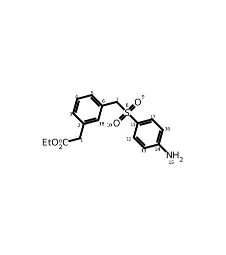 CCOC(=O)Cc1cccc(CS(=O)(=O)c2ccc(N)cc2)c1